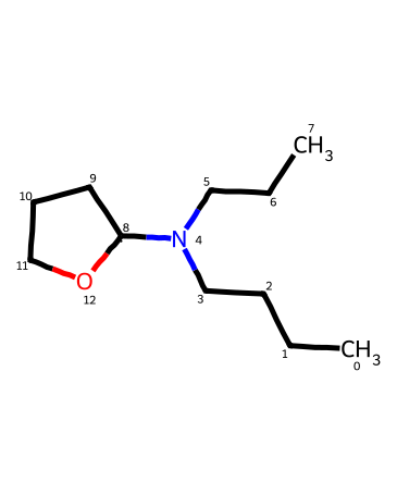 CCCCN(CCC)[C]1CCCO1